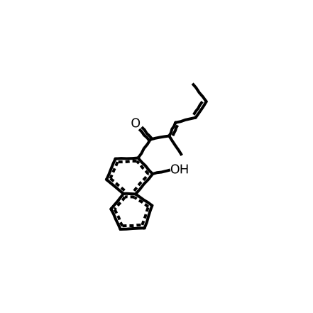 C/C=C\C=C(/C)C(=O)c1ccc2ccccc2c1O